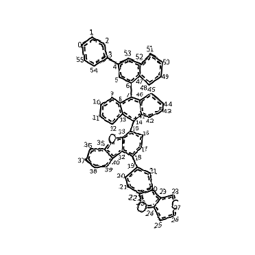 c1ccc(-c2cc(-c3c4ccccc4c(-c4ccc(-c5ccc6oc7ccccc7c6c5)c5c4oc4ccccc45)c4ccccc34)c3ccccc3c2)cc1